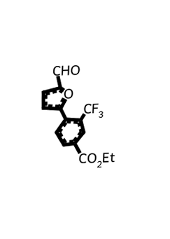 CCOC(=O)c1ccc(-c2ccc(C=O)o2)c(C(F)(F)F)c1